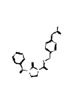 O=C(O)Cc1ccc(CNC(=O)N2CCN(C(=O)c3ccccc3)C2=O)cc1